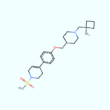 CS(=O)(=O)N1CC=C(c2ccc(OCC3CCN(CC4(C(F)(F)F)CCC4)CC3)cc2)CC1